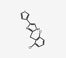 Clc1cccc(Cl)c1Cc1nc(-c2ccsc2)c[nH]1